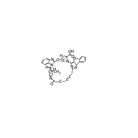 C[C@H]1CN2CC[C@@H]1n1c(nc3ccccc31)O[C@H]1C[C@@H](C(=O)O)N(C1)c1nc(nc3c1oc1ccccc13)CCCCCCC2=O